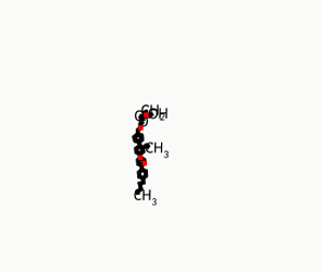 C=C(CO)C(=O)OCCCc1ccc(-c2ccc(-c3ccc(C4CCC(CCCCC)CC4)cc3)cc2CC)cc1